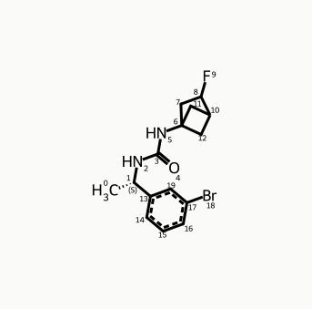 C[C@H](NC(=O)NC12CC(F)C(C1)C2)c1cccc(Br)c1